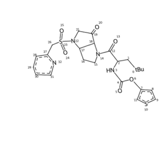 CC(C)(C)CC(NC(=O)Oc1ccsc1)C(=O)N1CCC2C1C(=O)CN2S(=O)(=O)Cc1ccccn1